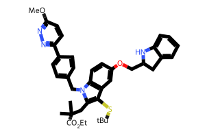 CCOC(=O)C(C)(C)Cc1c(SC(C)(C)C)c2cc(OCC3Cc4ccccc4N3)ccc2n1Cc1ccc(-c2ccc(OC)nn2)cc1